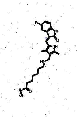 Cc1[nH]c(/C=C2\C(=O)Nc3ccc(F)cc32)c(C)c1CNCCCCCCC(=O)NO